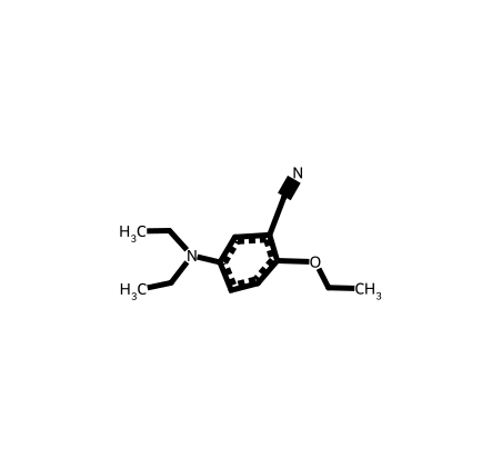 CCOc1ccc(N(CC)CC)cc1C#N